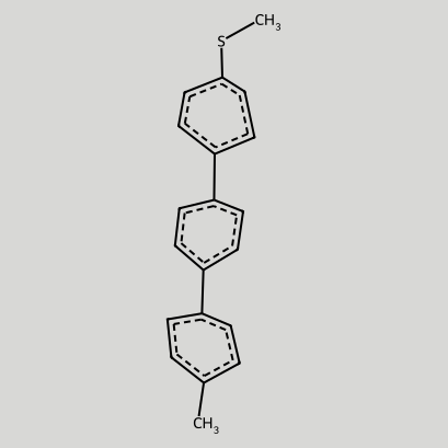 CSc1ccc(-c2ccc(-c3ccc(C)cc3)cc2)cc1